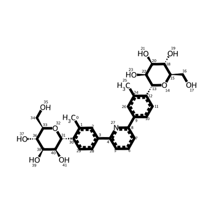 Cc1cc(-c2cccc(-c3ccc([C@H]4O[C@H](CO)[C@@H](O)[C@H](O)[C@@H]4O)c(C)c3)n2)ccc1[C@H]1O[C@H](CO)[C@@H](O)[C@H](O)[C@@H]1O